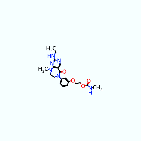 CCNc1ncc2c(n1)N(C)CCN(c1cccc(OCCOC(=O)NC)c1)C2=O